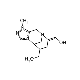 CCC1CC(=CO)N2Cc3c(cnn3C)C1C2